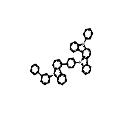 c1ccc(-c2cccc(-n3c4ccccc4c4c(-c5ccc(-n6c7ccccc7c7ccc8c(c9ccccc9n8-c8ccccc8)c76)cc5)cccc43)c2)cc1